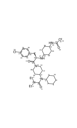 CCN(CC)C(=O)N(C1CCCCC1)C1CCN(C(=O)[C@@H](Cc2ccc(Cl)cc2)NC2CCC(NC(=O)C(F)(F)F)CC2)CC1